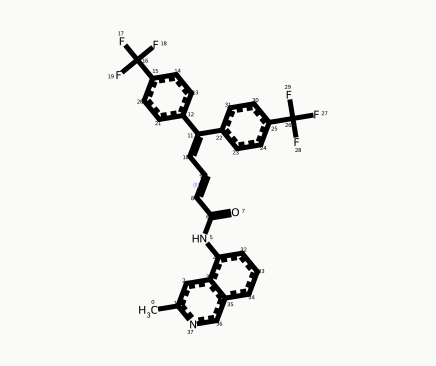 Cc1cc2c(NC(=O)/C=C/C=C(c3ccc(C(F)(F)F)cc3)c3ccc(C(F)(F)F)cc3)cccc2cn1